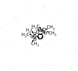 CCO[Si](OCC)(OCC)c1cccc([Si](OCC)(OCC)OCC)c1OC